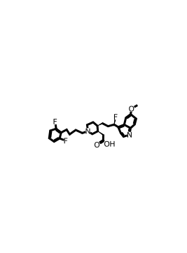 COc1ccc2nccc([C@H](F)CC[C@@H]3CCN(CCCCc4c(F)cccc4F)C[C@@H]3CC(=O)O)c2c1